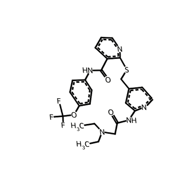 CCN(CC)CC(=O)Nc1cc(CSc2ncccc2C(=O)Nc2ccc(OC(F)(F)F)cc2)ccn1